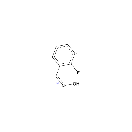 O/N=C\c1ccc[c]c1F